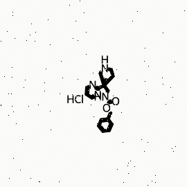 Cl.O=C(NCC1(c2ncccn2)C2CCNCC21)OCc1ccccc1